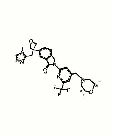 C[C@@H]1CN(Cc2cc(N3Cc4ccc(C5(Cc6nncn6C)COC5)cc4C3=O)nc(C(F)(F)F)c2)C[C@H](C)O1